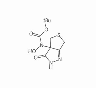 CC(C)(C)OC(=O)N(O)C12CSCC1=NNC2=O